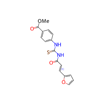 COC(=O)c1ccc(NC(=S)NC(=O)/C=C/c2ccco2)cc1